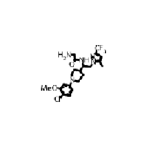 COc1cc(N2CCC(C(Cn3nc(C(F)(F)F)cc3C)NC(=O)CN)CC2)ccc1Cl